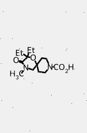 CCC1(CC)OC2(CCN(C(=O)O)CC2)CN(C)C1=O